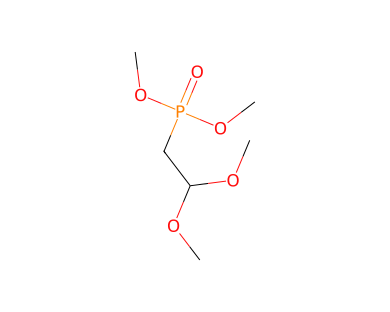 COC(CP(=O)(OC)OC)OC